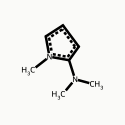 CN(C)c1cccn1C